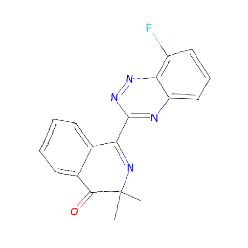 CC1(C)N=C(c2nnc3c(F)cccc3n2)c2ccccc2C1=O